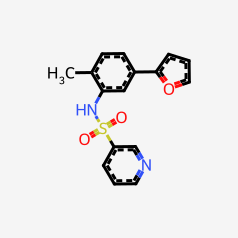 Cc1ccc(-c2ccco2)cc1NS(=O)(=O)c1cccnc1